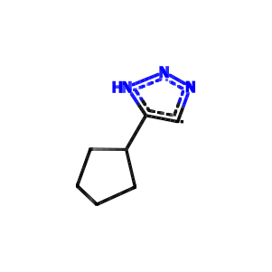 [c]1nn[nH]c1C1CCCC1